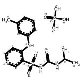 Cc1cccc(Nc2ccncc2S(=O)(=O)NC(=O)NC(C)C)c1.O=P(O)(O)O